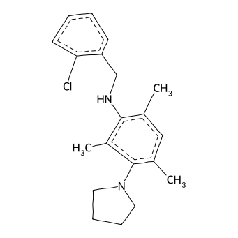 Cc1cc(C)c(N2CCCC2)c(C)c1NCc1ccccc1Cl